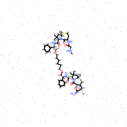 CNCC(=O)N[C@H]1CCS[C@H]2CC(C)(C)C(C(=O)N[C@H](COCCCCCCOC[C@@H](NC(=O)[C@H]3N4C(=O)CC(C[C@H](C)C(N)=O)CS[C@H]4CC3(C)C)c3ccccc3)c3ccccc3)N2C1=O